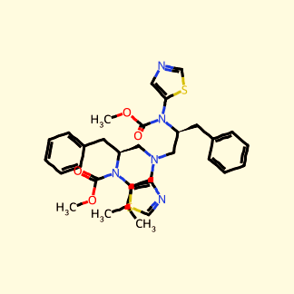 COC(=O)N(c1cncs1)[C@@H](Cc1ccccc1)CN(CCC(C)C)C[C@H](Cc1ccccc1)N(C(=O)OC)c1cncs1